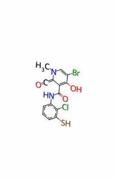 CN1C=C(Br)C(O)=C(C(=O)Nc2cccc(S)c2Cl)C1=C=O